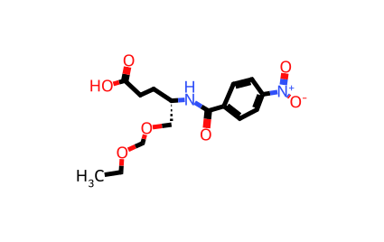 CCOCOC[C@H](CCC(=O)O)NC(=O)c1ccc([N+](=O)[O-])cc1